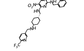 O=[N+]([O-])c1cnc(NCc2ccccc2OC(F)(F)F)nc1NC[C@H]1CC[C@H](NCc2ccc(C(F)(F)F)nc2)CC1